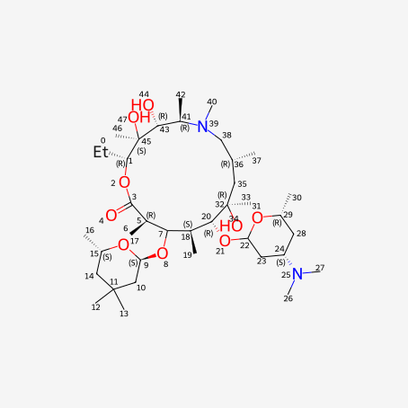 CC[C@H]1OC(=O)[C@H](C)C(O[C@H]2CC(C)(C)C[C@H](C)O2)[C@H](C)[C@@H](OC2C[C@@H](N(C)C)C[C@@H](C)O2)[C@](C)(O)C[C@@H](C)CN(C)[C@H](C)[C@@H](O)[C@]1(C)O